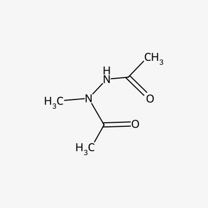 CC(=O)NN(C)C(C)=O